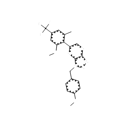 COc1ccc(Cn2nnc3ncc(-c4c(C)cc(C(F)(F)F)cc4OC)nc32)cc1